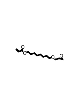 C=CC(=O)OCCCCCCCCOCC1CO1